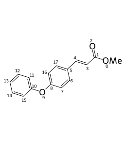 COC(=O)C=Cc1ccc(Oc2ccccc2)cc1